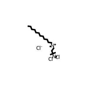 CCCCCCCCCCCC[N+](C)(C)CCC(C)(C)N(Cl)Cl.[Cl-]